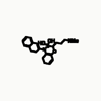 CNCCCC1OC2=C(CCC=C2)N(c2ccc3ccccc3c2)S1(O)O